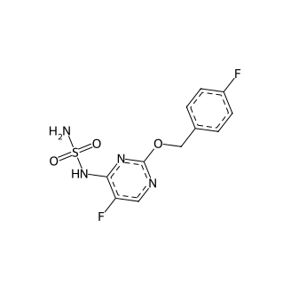 NS(=O)(=O)Nc1nc(OCc2ccc(F)cc2)ncc1F